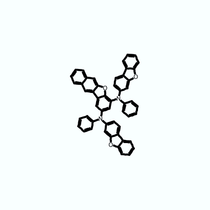 c1ccc(N(c2ccc3c(c2)oc2ccccc23)c2cc(N(c3ccccc3)c3ccc4c(c3)oc3ccccc34)c3oc4cc5ccccc5cc4c3c2)cc1